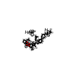 COc1cc(C(=O)N2CC3CCC2[C@@H]3N(C(=O)O)C(C)(C)C)cc2sc(-c3cc4ccc(N5CCC(NC(=O)OC(C)(C)C)CC5)cc4n3CC3CC3)c(C)c12.O=C([O-])O.[Cs+]